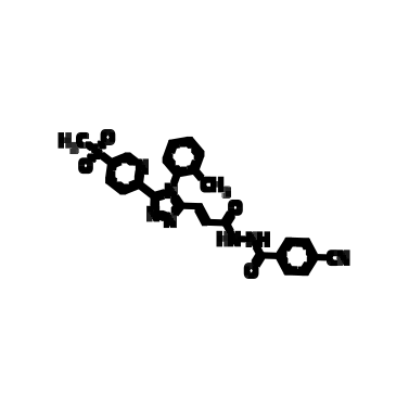 Cc1ccccc1-n1c(/C=C/C(=O)NNC(=O)c2ccc(C#N)cc2)nnc1-c1ccc(S(C)(=O)=O)cn1